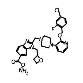 NOC(=O)c1ccc2nc(CN3CCN(c4cccnc4OCc4ccc(Cl)cc4F)CC3)n(CC3CCO3)c2c1